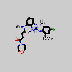 COc1cc(Br)cc(C)c1Nc1nc2cccc(N(CCCC(=O)N3CCOCC3)C(C)C)c2n1C